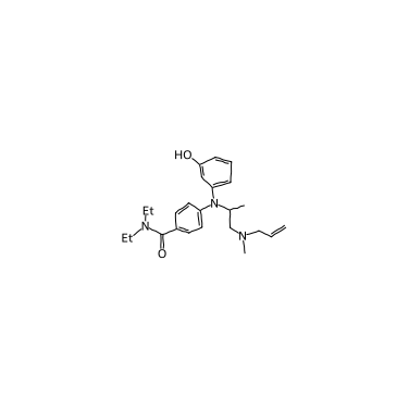 C=CCN(C)CC(C)N(c1ccc(C(=O)N(CC)CC)cc1)c1cccc(O)c1